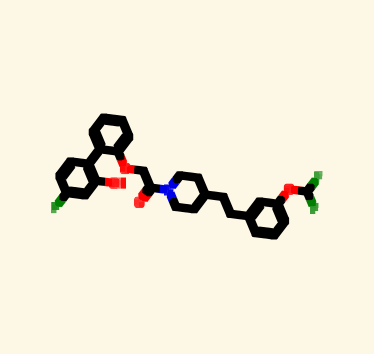 O=C(COc1ccccc1-c1ccc(F)cc1O)N1CCC(CCc2cccc(OC(F)F)c2)CC1